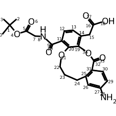 CC(C)(C)OC(=O)CNC(=O)c1ccc(CC(=O)O)c2c1OCCCc1cc(N)ccc1C(=O)O2